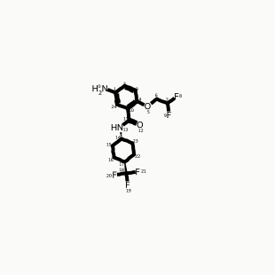 Nc1ccc(OCC(F)F)c(C(=O)N[C@H]2CC[C@H](C(F)(F)F)CC2)c1